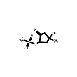 CC1(C)CC(=O)C(OS(C)(=O)=O)C1